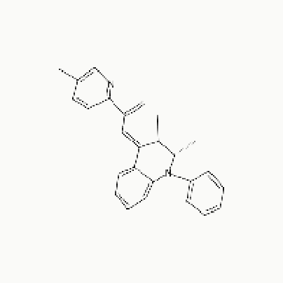 C=C(/C=C1/c2ccccc2N(c2ccccc2)[C@@H](C)C1C)c1ccc(C)cn1